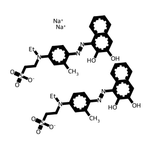 CCN(CCS(=O)(=O)[O-])c1ccc(N=Nc2c(O)c(O)cc3ccccc23)c(C)c1.CCN(CCS(=O)(=O)[O-])c1ccc(N=Nc2c(O)c(O)cc3ccccc23)c(C)c1.[Na+].[Na+]